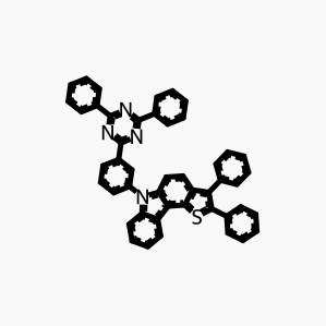 c1ccc(-c2nc(-c3ccccc3)nc(-c3cccc(-n4c5ccccc5c5c6sc(-c7ccccc7)c(-c7ccccc7)c6ccc54)c3)n2)cc1